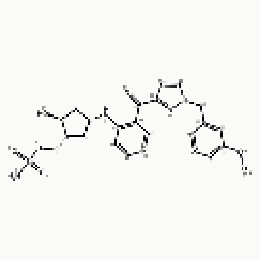 NS(=O)(=O)OC[C@H]1C[C@@H](Nc2ccncc2C(=O)c2ccn(Cc3cccc(OC(F)(F)F)c3)n2)C[C@@H]1O